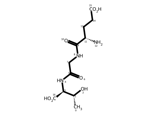 C[C@@H](O)[C@H](NC(=O)CNC(=O)[C@@H](N)CCC(=O)O)C(=O)O